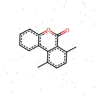 Cc1ccc(C)c2c1c(=O)oc1ccccc12